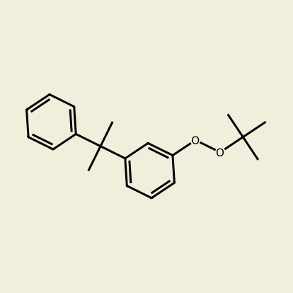 CC(C)(C)OOc1cccc(C(C)(C)c2ccccc2)c1